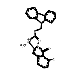 C[C@H](NC(=O)OCC1c2ccccc2-c2ccccc21)c1cc2cccc(Cl)c2c(=O)[nH]1